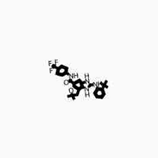 CC1(C)Cc2c3c(cc(C(=O)Nc4ccc(C(F)(F)F)cc4)c2O1)NC(Nc1ccccc1C(C)(C)C)N3